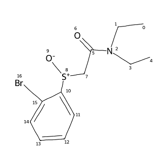 CCN(CC)C(=O)C[S+]([O-])c1ccccc1Br